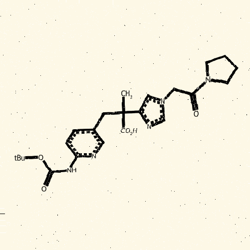 CC(C)(C)OC(=O)Nc1ccc(CC(C)(C(=O)O)c2cn(CC(=O)N3CCCC3)cn2)cn1